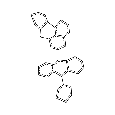 c1ccc(-c2c3ccccc3c(-c3cc4c5c(cccc5c3)-c3ccccc3S4)c3ccccc23)cc1